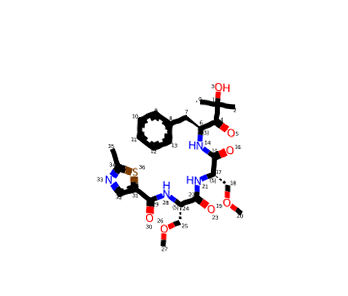 [CH2]C(C)(O)C(=O)[C@H](Cc1ccccc1)NC(=O)[C@H](COC)NC(=O)[C@H](COC)NC(=O)c1cnc(C)s1